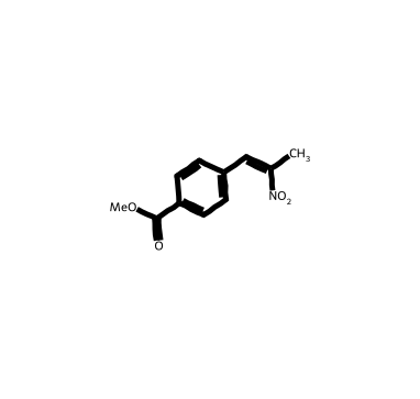 COC(=O)c1ccc(/C=C(/C)[N+](=O)[O-])cc1